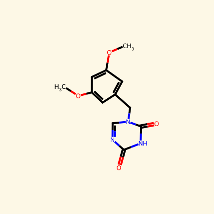 COc1cc(Cn2cnc(=O)[nH]c2=O)cc(OC)c1